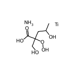 CC(O)CC(CO)(OO)C(=O)O.N.[Ti]